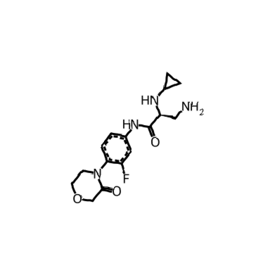 NC[C@H](NC1CC1)C(=O)Nc1ccc(N2CCOCC2=O)c(F)c1